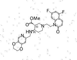 COC(=O)[C@H]1CN(CCn2c(=O)ccc3c(F)cc(F)cc32)CC[C@H]1NCc1cc2c(cn1)OCCO2